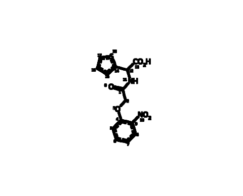 O=C(COc1ccccc1[N+](=O)[O-])NC(C(=O)O)c1cccs1